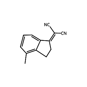 Cc1cccc2c1CCC2=C(C#N)C#N